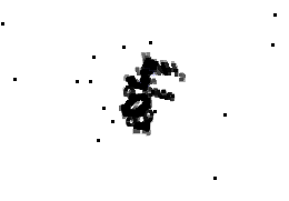 C=C(OC1CCC2(CC1)OCCO2)/C(=C\C=C/N)OC